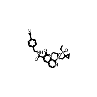 CCS(=O)(=O)C1(CN2CCn3c(=O)c(C(=O)NCc4ccc(C#N)cc4)cc4ccnc2c43)CC1